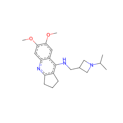 COc1cc2nc3c(c(NCC4CN(C(C)C)C4)c2cc1OC)CCC3